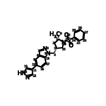 C[C@H]1C[C@@H](Cn2ncc3cc(-c4cn[nH]c4)ccc32)CN1S(=O)(=O)c1ccccc1